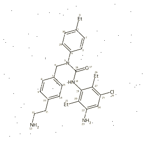 CCc1ccc(N(Cc2ccc(CCN)cc2)C(=O)Nc2c(CC)c(N)cc(Cl)c2CC)cc1